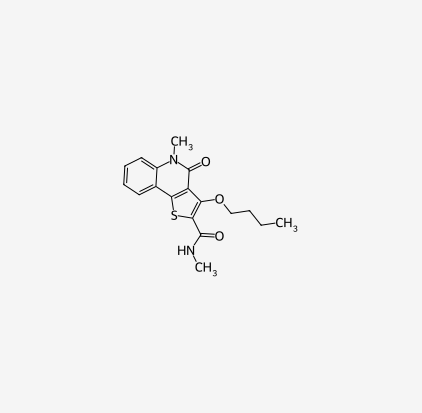 CCCCOc1c(C(=O)NC)sc2c1c(=O)n(C)c1ccccc21